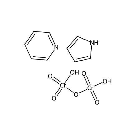 [O]=[Cr](=[O])([OH])[O][Cr](=[O])(=[O])[OH].c1cc[nH]c1.c1ccncc1